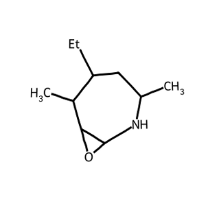 CCC1CC(C)NC2OC2C1C